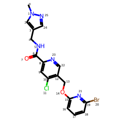 Cn1cc(CNC(=O)c2cc(Cl)c(COc3cccc(Br)n3)cn2)cn1